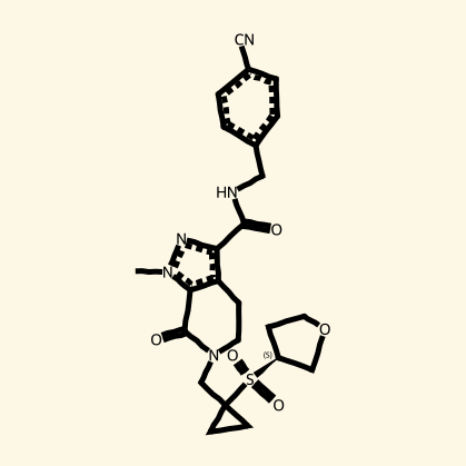 Cn1nc(C(=O)NCc2ccc(C#N)cc2)c2c1C(=O)N(CC1(S(=O)(=O)[C@H]3CCOC3)CC1)CC2